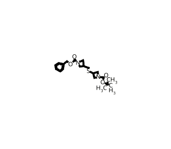 CC(C)(C)OC(=O)N1CC(SCC2CN(C(=O)OCc3ccccc3)C2)C1